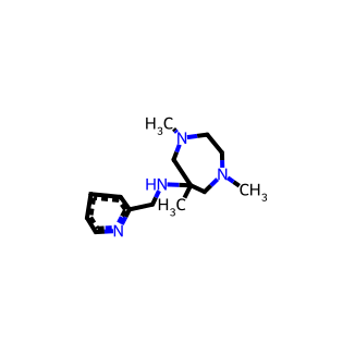 CN1CCN(C)CC(C)(NCc2ccccn2)C1